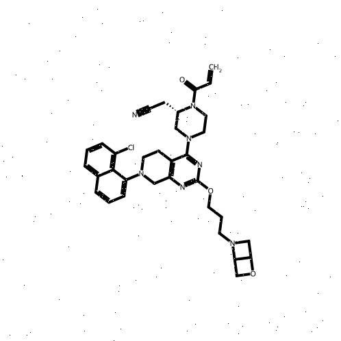 C=CC(=O)N1CCN(c2nc(OCCCN3CC4OCC43)nc3c2CCN(c2cccc4cccc(Cl)c24)C3)C[C@@H]1CC#N